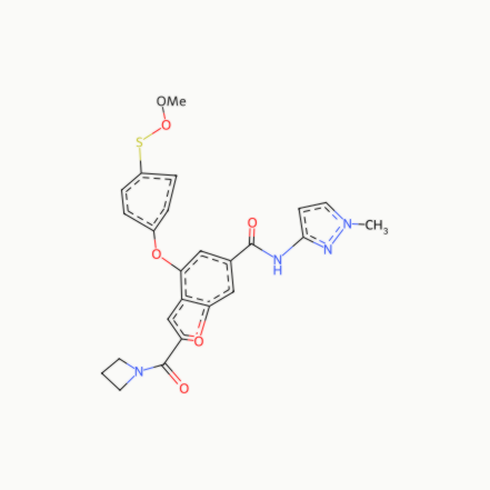 COOSc1ccc(Oc2cc(C(=O)Nc3ccn(C)n3)cc3oc(C(=O)N4CCC4)cc23)cc1